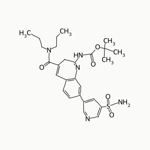 CCCN(CCC)C(=O)C1=Cc2ccc(-c3cncc(S(N)(=O)=O)c3)cc2N=C(NC(=O)OC(C)(C)C)C1